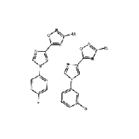 CCc1noc(-c2cn(-c3ccc(F)cc3)cn2)n1.CCc1noc(-c2cn(-c3cccc(Br)c3)cn2)n1